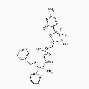 C[C@@H](C(=O)O[P@](=O)(O)OC[C@H]1O[C@@H](n2ccc(N)nc2=O)C(F)(F)[C@@H]1O)N(OCc1ccccc1)c1ccccc1